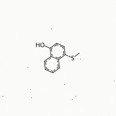 CSc1ccc(O)c2ccccc12